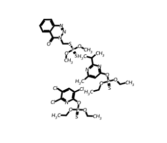 CCOP(=S)(OCC)Oc1cc(C)nc(C(C)C)n1.CCOP(=S)(OCC)Oc1nc(Cl)c(Cl)cc1Cl.COP(=S)(OC)SCn1nnc2ccccc2c1=O